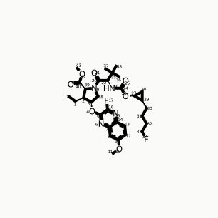 CC[C@@H]1[C@@H](Oc2nc3cc(OC)ccc3nc2F)CN(C(=O)[C@@H](NC(=O)O[C@@H]2C[C@H]2CCCCF)C(C)(C)C)[C@@H]1C(=O)OC